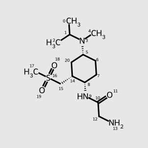 CC(C)N(C)[C@@H]1CC[C@H](NC(=O)CN)[C@H](CS(C)(=O)=O)C1